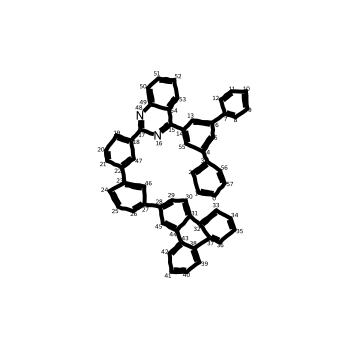 c1ccc(-c2cc(-c3ccccc3)cc(-c3nc(-c4cccc(-c5cccc(-c6ccc7c8ccccc8c8ccccc8c7c6)c5)c4)nc4ccccc34)c2)cc1